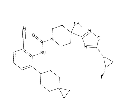 CC1(c2noc([C@@H]3C[C@@H]3F)n2)CCN(C(=O)Nc2c(C#N)cccc2C2CCC3(CC2)CC3)CC1